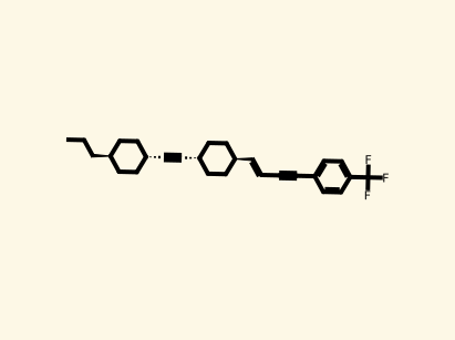 CCC[C@H]1CC[C@H](C#C[C@H]2CC[C@H](C=CC#Cc3ccc(C(F)(F)F)cc3)CC2)CC1